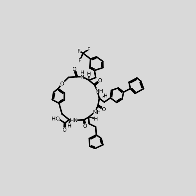 O=C1COc2ccc(cc2)C[C@@H](C(=O)O)NC(=O)[C@@H](CCc2ccccc2)NC(=O)[C@H](Cc2ccc(-c3ccccc3)cc2)NC(=O)[C@@H](Cc2cccc(C(F)(F)F)c2)N1